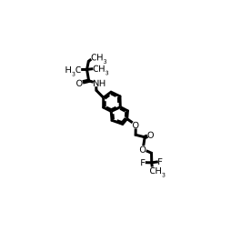 CCC(C)(C)C(=O)NCc1ccc2cc(OCC(=O)OCC(C)(F)F)ccc2c1